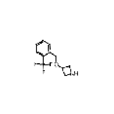 FC(F)(F)c1ccccc1COC1CNC1